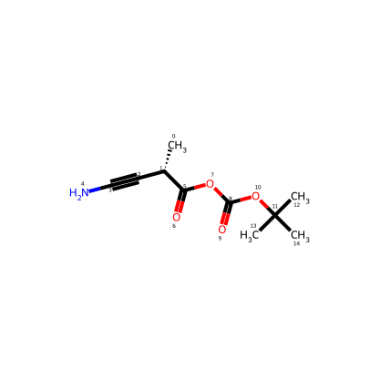 C[C@@H](C#CN)C(=O)OC(=O)OC(C)(C)C